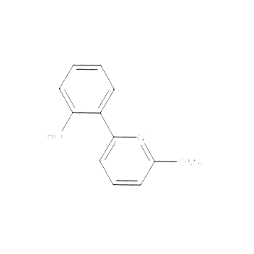 COc1cccc(-c2ccccc2O)n1